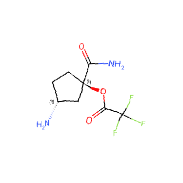 NC(=O)[C@@]1(OC(=O)C(F)(F)F)CC[C@@H](N)C1